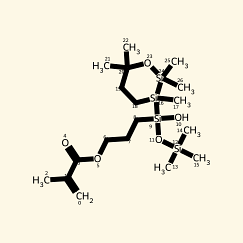 C=C(C)C(=O)OCCC[Si](O)(O[Si](C)(C)C)[Si]1(C)CCC(C)(C)O[Si]1(C)C